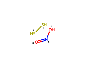 O=NO.SS